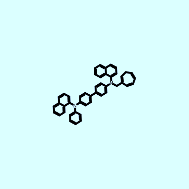 C1=CCC=C(CN(c2ccc(-c3ccc(N(c4ccccc4)c4cccc5ccccc45)cc3)cc2)c2cccc3ccccc23)C=C1